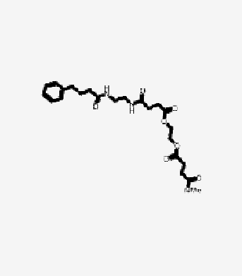 CNC(=O)CCC(=O)OCCOC(=O)CCC(=O)NCCNC(=O)CCCc1ccccc1